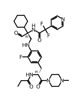 CCC(=O)N[C@H](Cc1ccc(NC[C@](C=O)(NC(=O)C(F)(F)c2ccncc2)C2CCCCC2)c(F)c1)C(=O)N1CCN(C)CC1